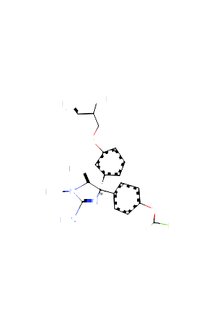 C=CC(C)COc1cccc([C@@]2(c3ccc(OC(F)F)cc3)N=C(N)N(C)C2=C)c1